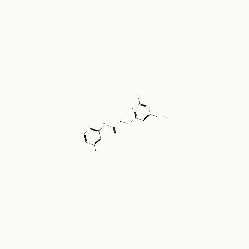 CSc1cc(NCC(=O)Nc2cccc(C(F)(F)F)c2)nc(N)n1